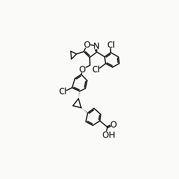 O=C(O)c1ccc([C@@H]2C[C@@H]2c2ccc(OCc3c(-c4c(Cl)cccc4Cl)noc3C3CC3)cc2Cl)cc1